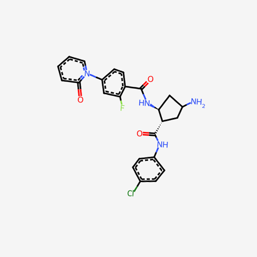 NC1C[C@H](NC(=O)c2ccc(-n3ccccc3=O)cc2F)[C@@H](C(=O)Nc2ccc(Cl)cc2)C1